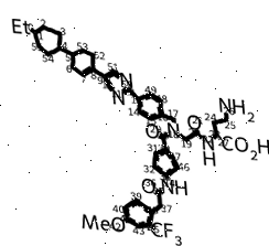 CCC1CCC(C2CC=C(c3cnc(-c4ccc(CN(CC(=O)N[C@H](CCN)C(=O)O)C(=O)c5ccc(NC(=O)Cc6ccc(OC)cc6C(F)(F)F)cc5)cc4)nc3)CC2)CC1